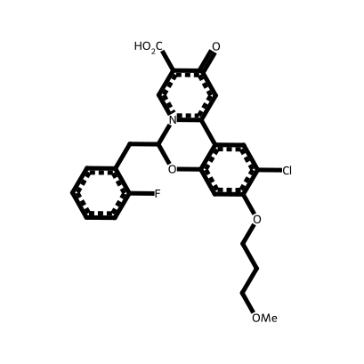 COCCCOc1cc2c(cc1Cl)-c1cc(=O)c(C(=O)O)cn1C(Cc1ccccc1F)O2